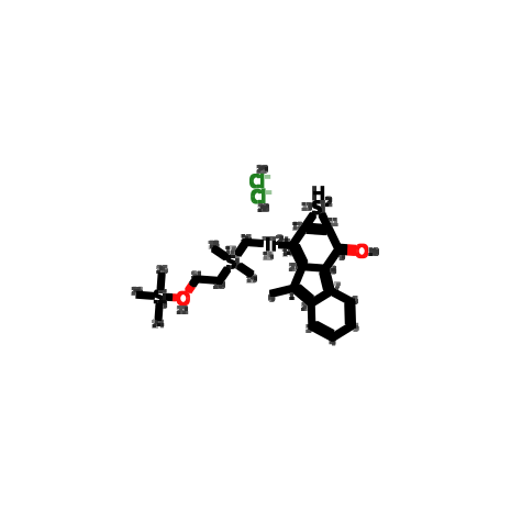 CC1=c2ccccc2=C2C(=O)C3=C([SiH2]3)[C]([Ti+2][CH2][Si](C)(C)CCO[Si](C)(C)C)=C12.[Cl-].[Cl-]